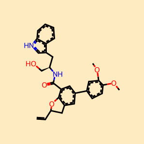 C=CC1Cc2cc(-c3ccc(OC)c(OC)c3)cc(C(=O)N[C@@H](CO)Cc3c[nH]c4ccccc34)c2O1